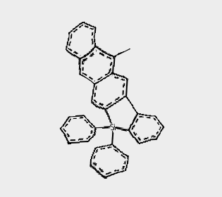 Cc1c2ccccc2cc2cc3c(cc12)-c1ccccc1[Si]3(c1ccccc1)c1ccccc1